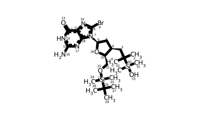 CC(C)(C[C@@H]1C[C@H](n2c(Br)nc3c(=O)[nH]c(N)nc32)O[C@@H]1CO[Si](C)(C)C(C)(C)C)[Si](C)(C)O